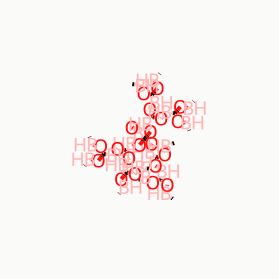 CBOC(BOC(BOC(B=O)(OBC(OBC(OBC)OBC)OBC(OBC)OBC)OBC(OBC(OBC)OBC)OBC(OBC)OBC)OBC)OBC